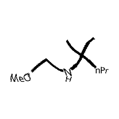 CCCC(C)(C)NCOC